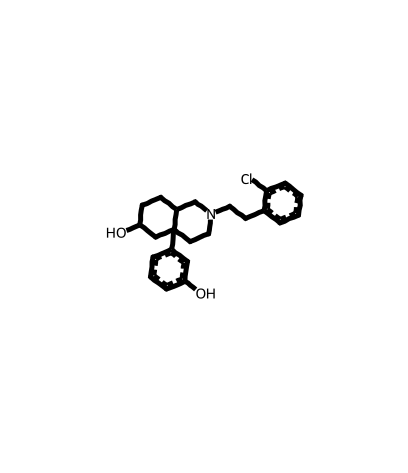 Oc1cccc(C23CCN(CCc4ccccc4Cl)CC2CCC(O)C3)c1